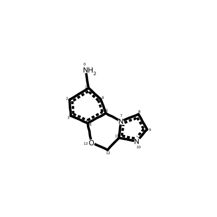 Nc1ccc2c(c1)-n1ccnc1CO2